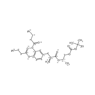 CCC(C)(C)OC(=O)OC[C@H](C)OC(=O)[C@@H](N)Cc1ccc(OC(=O)CCC(C)C)c(OC(=O)CCC(C)C)c1